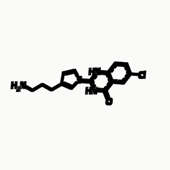 NCCCC1=CS(=c2[nH]c(=O)c3cc(Cl)ccc3[nH]2)C=C1